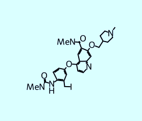 CNC(=O)Nc1ccc(Oc2ccnc3cc(OCC4CCN(C)CC4)c(C(=O)NC)cc23)cc1CI